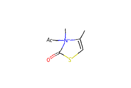 CC(=O)[N+]1(C)C(=O)SC=C1C